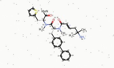 CNC(=O)[C@@H](Cc1cccs1)N(C)C(=O)[C@@H](Cc1ccc(-c2ccccc2)cc1)N(C)C(=O)/C=C/CC(C)(C)N